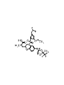 CCOc1nn(CC(F)F)cc1S(=O)(=O)N1CC(CC(C)C(=O)O)Oc2ccc(NC(=O)OC(C)(C)C(F)(F)F)cc21